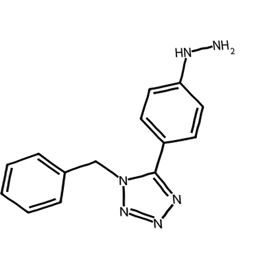 NNc1ccc(-c2nnnn2Cc2ccccc2)cc1